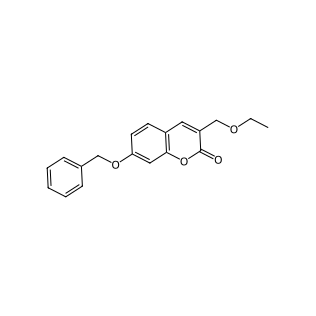 CCOCc1cc2ccc(OCc3ccccc3)cc2oc1=O